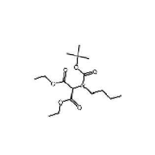 CCCCN(C(=O)OC(C)(C)C)C(C(=O)OCC)C(=O)OCC